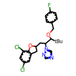 CC(C)(C)C(OCc1ccc(F)cc1)C(CC1Cc2cc(Cl)cc(Cl)c2O1)n1cncn1